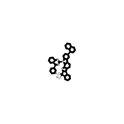 CC1(C)c2ccccc2-c2c1sc1c2ccc2c3cc(-c4cccc5ccccc45)ccc3n(-c3nc(-c4ccccc4)c4ccccc4n3)c21